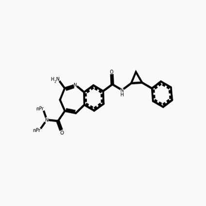 CCCN(CCC)C(=O)C1=Cc2ccc(C(=O)NC3CC3c3ccccc3)cc2N=C(N)C1